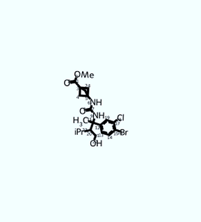 COC(=O)C12CC(NC(=O)NC(C)(c3ccc(Br)c(Cl)c3)C(CO)C(C)C)(C1)C2